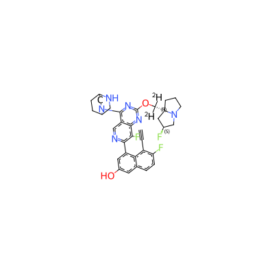 [2H]C([2H])(Oc1nc(N2CC3CCC2CN3)c2cnc(-c3cc(O)cc4ccc(F)c(C#C)c34)c(F)c2n1)[C@]12CCCN1C[C@@H](F)C2